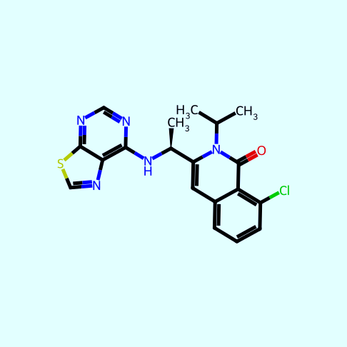 CC(C)n1c([C@H](C)Nc2ncnc3scnc23)cc2cccc(Cl)c2c1=O